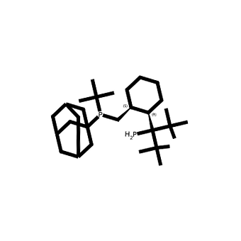 CC(C)(C)P(C[C@H]1CCCC[C@H]1C(P)(C(C)(C)C)C(C)(C)C)C12CC3CC(CC(C3)C1)C2